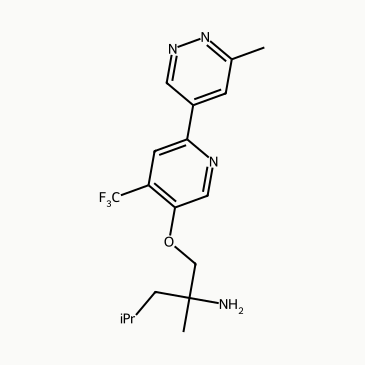 Cc1cc(-c2cc(C(F)(F)F)c(OCC(C)(N)CC(C)C)cn2)cnn1